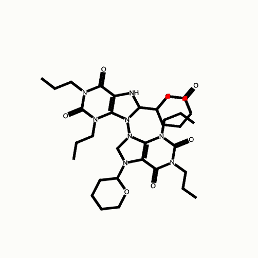 CCCn1c2c(c(=O)n(CCC)c1=O)N(C1CCCCO1)CN2N1c2c(c(=O)n(CCC)c(=O)n2CCC)NC1C12CCC(CC1)C(=O)O2